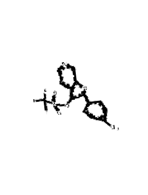 Cc1ccc(-c2oc3cnccc3c2OS(=O)(=O)C(F)(F)F)cc1